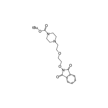 CC(C)(C)OC(=O)N1CCN(CCOCCON2C(=O)c3ccccc3C2=O)CC1